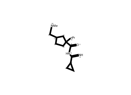 CCCC1(C(=O)NC(=N)C2CC2)CCC(CNC)C1